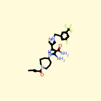 CC#CC(=O)N1CCCC(n2nc(-c3cnn(Cc4cc(F)cc(C(F)(F)F)c4)c3)c(C(N)=O)c2N)CCC1